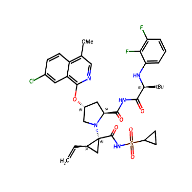 C=C[C@@H]1C[C@@]1(C(=O)NS(=O)(=O)C1CC1)N1C[C@H](Oc2ncc(OC)c3ccc(Cl)cc23)C[C@H]1C(=O)NC(=O)[C@@H](Nc1cccc(F)c1F)C(C)(C)C